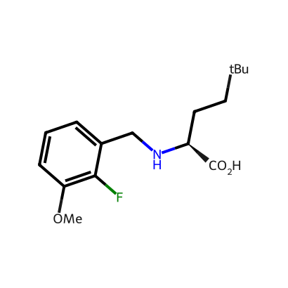 COc1cccc(CN[C@@H](CCC(C)(C)C)C(=O)O)c1F